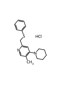 Cc1cnc(CSc2ccccc2)cc1N1CCCCC1.Cl